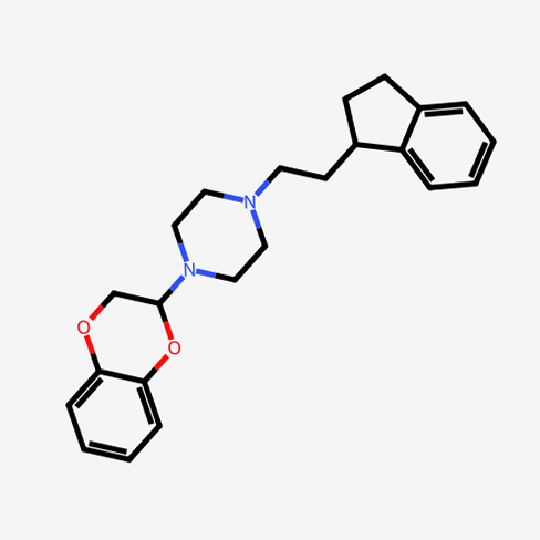 c1ccc2c(c1)CCC2CCN1CCN(C2COc3ccccc3O2)CC1